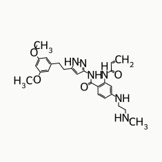 C=CC(=O)Nc1cc(NCCNC)ccc1C(=O)Nc1cc(CCc2cc(OC)cc(OC)c2)[nH]n1